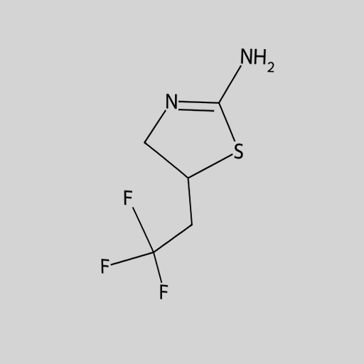 NC1=NCC(CC(F)(F)F)S1